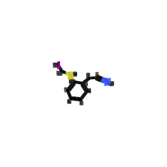 N#CCc1ccccc1SCI